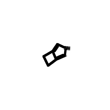 [c]1[nH]cc2c1CC2